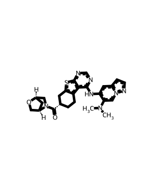 CN(C)c1cn2nccc2cc1Nc1ncnc2sc3c(c12)CC[C@H](C(=O)N1C[C@H]2C[C@@H]1CO2)C3